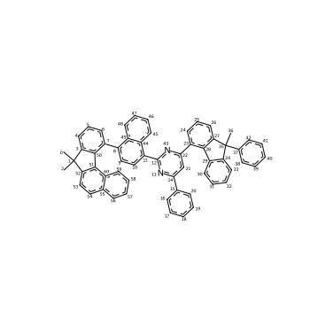 CC1(C)c2cccc(-c3ccc(-c4nc(-c5ccccc5)cc(-c5cccc6c5-c5ccccc5C6(C)c5ccccc5)n4)c4ccccc34)c2-c2c1ccc1ccccc21